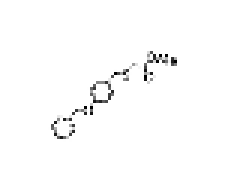 COC(=O)CSCc1ccc(OCc2ccccc2)cc1